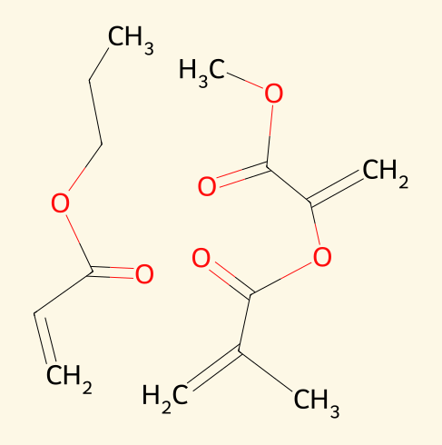 C=C(C)C(=O)OC(=C)C(=O)OC.C=CC(=O)OCCC